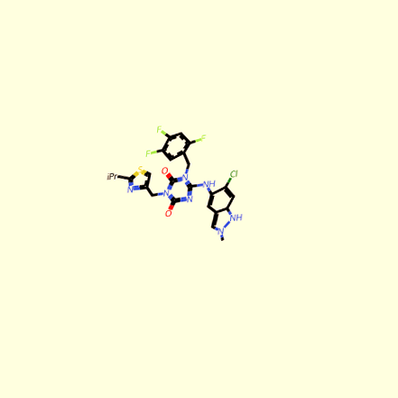 CC(C)c1nc(Cn2c(=O)nc(NC3=CC4=CN(C)NC4C=C3Cl)n(Cc3cc(F)c(F)cc3F)c2=O)cs1